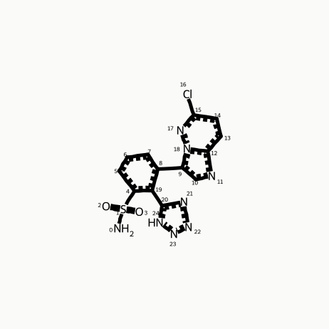 NS(=O)(=O)c1cccc(-c2cnc3ccc(Cl)nn23)c1-c1nnn[nH]1